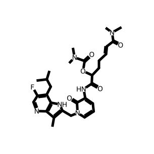 Cc1c(Cn2cccc(NC(=O)C(CCC=CC(=O)N(C)C)OC(=O)N(C)C)c2=O)[nH]c2c(CC(C)C)c(F)cnc12